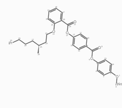 CCCCCCCCCOc1ccc(OC(=O)c2ccc(OC(=O)c3ccccc3OCC[C@@H](C)CCCC(C)C)cc2)cc1